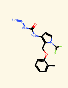 Cc1ccccc1OCc1c(NC(=O)NN=N)ccn1C(F)F